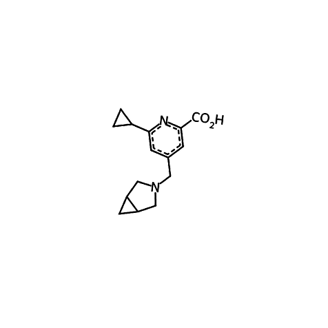 O=C(O)c1cc(CN2CC3CC3C2)cc(C2CC2)n1